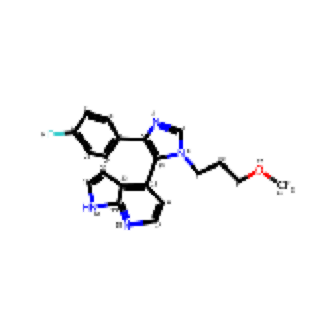 Fc1ccc(-c2ncn(CCCOC(F)(F)F)c2-c2ccnc3[nH]ccc23)cc1